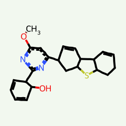 COc1cc(C2C=CC3C(C2)SC2CCC=CC23)nc(C2C=CC=CC2O)n1